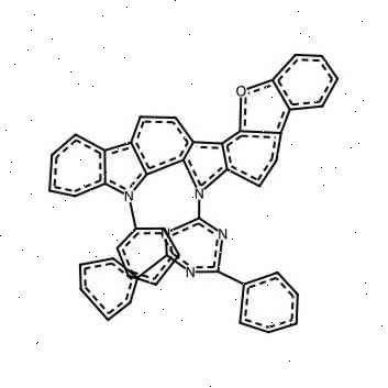 c1ccc(-c2nc(-c3ccccc3)nc(-n3c4ccc5c6ccccc6oc5c4c4ccc5c6ccccc6n(-c6ccccc6)c5c43)n2)cc1